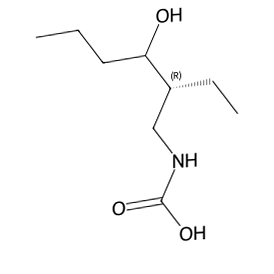 CCCC(O)[C@H](CC)CNC(=O)O